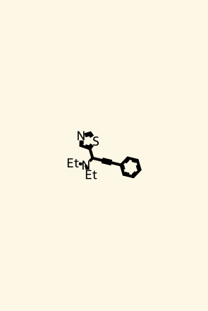 CCN(CC)C(C#Cc1ccccc1)c1cncs1